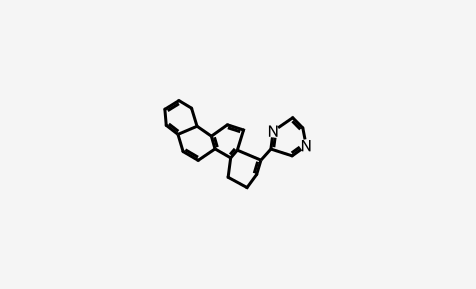 C1=CCC2C(=C1)C=Cc1c2ccc2c1CCC=C2c1cnccn1